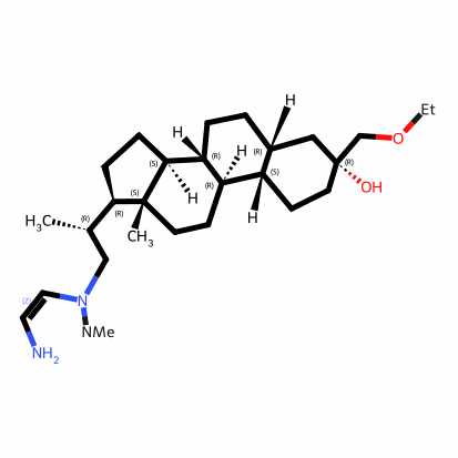 CCOC[C@@]1(O)CC[C@H]2[C@H](CC[C@@H]3[C@@H]2CC[C@]2(C)[C@@H]([C@@H](C)CN(/C=C\N)NC)CC[C@@H]32)C1